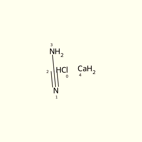 Cl.N#CN.[CaH2]